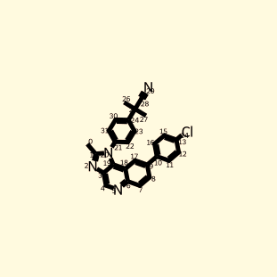 Cc1nc2cnc3ccc(-c4ccc(Cl)cc4)cc3c2n1-c1ccc(C(C)(C)C#N)cc1